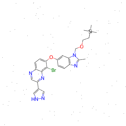 Cc1nc2ccc(Oc3ccc4ncc(-c5cn[nH]c5)nc4c3Br)cc2n1COCC[Si](C)(C)C